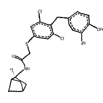 CC(C)c1cc(Cc2c(Cl)cc(SCC(=O)N[C@H]3CC4CC3C4)cc2Cl)ccc1O